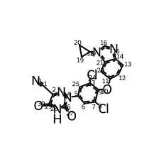 N#Cc1nn(-c2cc(Cl)c(Oc3ccc4ncn(C5CC5)c4c3)c(Cl)c2)c(=O)[nH]c1=O